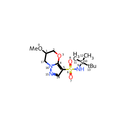 COC1COc2c(S(=O)(=O)N[Si](C)(C)C(C)(C)C)cnn2C1